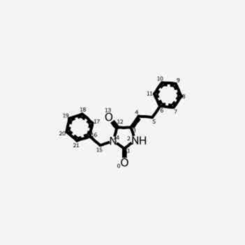 O=C1NC(=CCc2ccccc2)C(=O)N1Cc1ccccc1